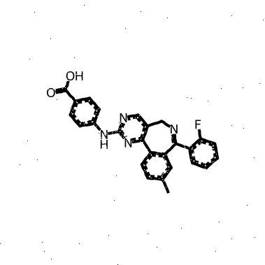 Cc1ccc2c(c1)C(c1ccccc1F)=NCc1cnc(Nc3ccc(C(=O)O)cc3)nc1-2